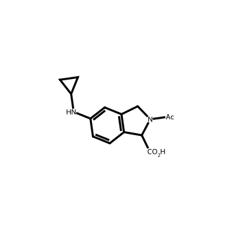 CC(=O)N1Cc2cc(NC3CC3)ccc2C1C(=O)O